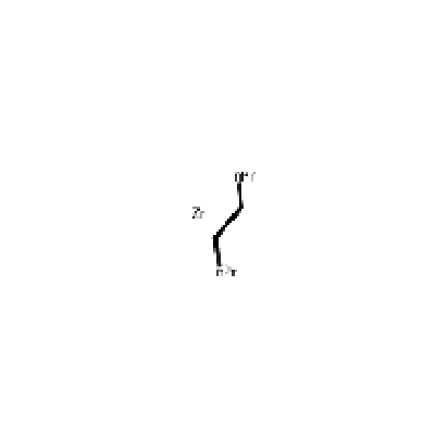 CCCCCCCC.[Zr]